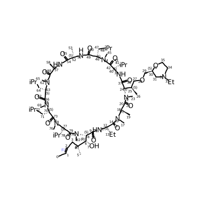 C/C=C/C[C@@H](C)[C@@H](O)[C@H]1C(=O)N[C@@H](CC)C(=O)N(C)[C@H](C)C(=O)N(C)[C@@H]([C@H](C)COC[C@@H]2CN(CC)CCO2)C(=O)N[C@@H](C(C)C)C(=O)N(C)[C@@H](CC(C)C)C(=O)N[C@@H](C)C(=O)N[C@H](C)C(=O)N(C)[C@@H](CC(C)C)C(=O)N(C)[C@@H](CC(C)C)C(=O)N(C)[C@@H](C(C)C)C(=O)N1C